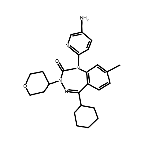 Cc1ccc2c(c1)N(c1ccc(N)cn1)C(=O)N(C1CCOCC1)N=C2C1CCCCC1